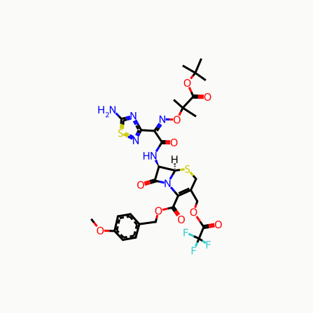 COc1ccc(COC(=O)C2=C(COC(=O)C(F)(F)F)CS[C@@H]3[C@H](NC(=O)/C(=N\OC(C)(C)C(=O)OC(C)(C)C)c4nsc(N)n4)C(=O)N23)cc1